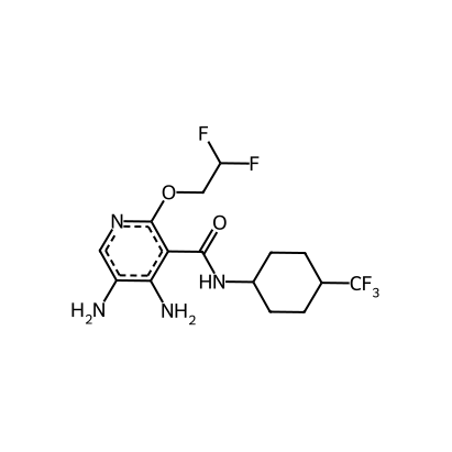 Nc1cnc(OCC(F)F)c(C(=O)NC2CCC(C(F)(F)F)CC2)c1N